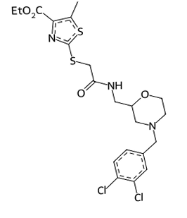 CCOC(=O)c1nc(SCC(=O)NCC2CN(Cc3ccc(Cl)c(Cl)c3)CCO2)sc1C